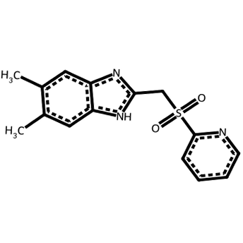 Cc1cc2nc(CS(=O)(=O)c3ccccn3)[nH]c2cc1C